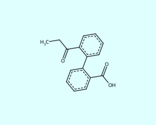 CCC(=O)c1ccccc1-c1ccccc1C(=O)O